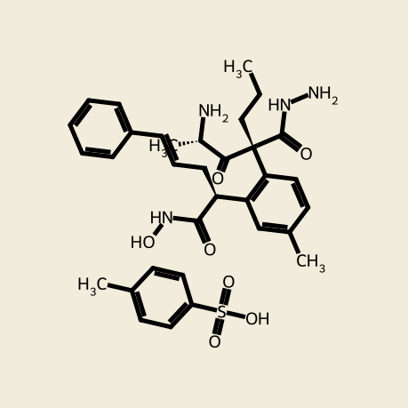 CCC[C@](C(=O)NN)(C(=O)[C@H](C)N)c1ccc(C)cc1[C@H](C/C=C/c1ccccc1)C(=O)NO.Cc1ccc(S(=O)(=O)O)cc1